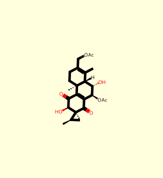 CC(=O)OCC1=C(C)[C@@H]2[C@H](O)[C@@H](OC(C)=O)C3=C(C(=O)[C@H](O)[C@@]4(C[C@H]4C)C3=O)[C@@]2(C)CC1